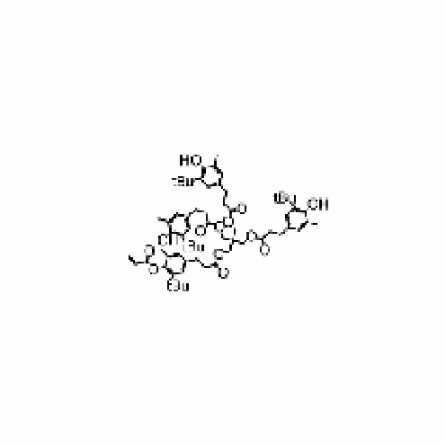 C=CC(=O)Oc1c(C)cc(CCC(=O)OCC(COC(=O)CCc2cc(C)c(O)c(C(C)(C)C)c2)(COC(=O)CCc2cc(C)c(O)c(C(C)(C)C)c2)COC(=O)CCc2cc(C)c(O)c(C(C)(C)C)c2)cc1C(C)(C)C